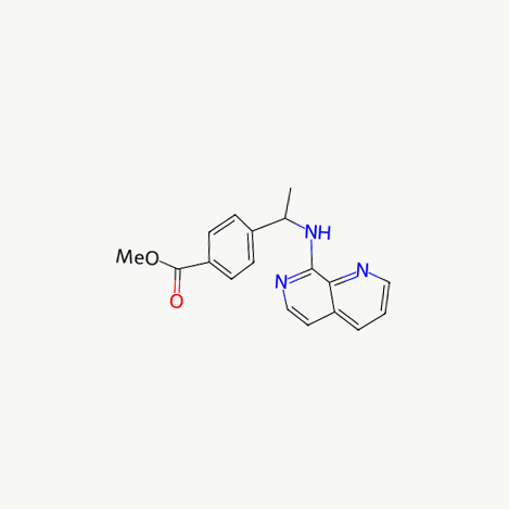 COC(=O)c1ccc(C(C)Nc2nccc3cccnc23)cc1